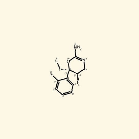 NC1=NC[C@@H](F)[C@@](CF)(c2ccccc2F)O1